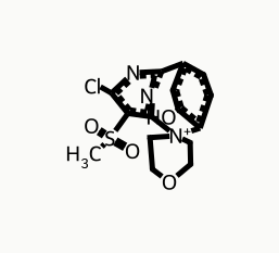 CS(=O)(=O)c1c(Cl)nc2nc1[N+]1(CCOCC1)c1ccc-2cc1O